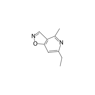 CCc1cc2oncc2c(C)n1